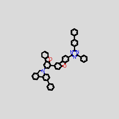 C1=Cc2oc3c(-c4ccc5oc6cc(-c7nc(-c8ccccc8)nc(-c8ccc(-c9ccccc9)cc8)n7)ccc6c5c4)cc(N4Cc5ccccc5-c5cc(-c6ccccc6)ccc54)cc3c2CC1